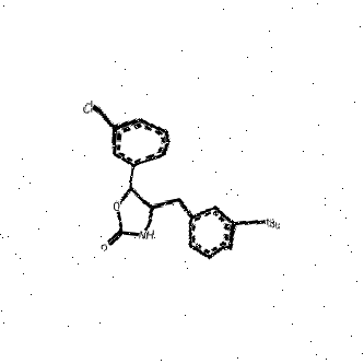 CC(C)(C)c1cccc(CC2NC(=O)OC2c2cccc(Cl)c2)c1